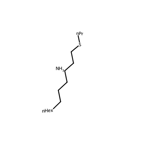 N.[CH2]CCSCCCCCCCCCCCC